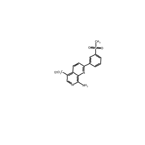 CCOC(=O)c1cnc(N)c2nc(-c3cccc(S(C)(=O)=O)c3)ccc12